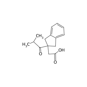 CC(C)C(=O)C1(CC(=O)O)Cc2ccccc2C1